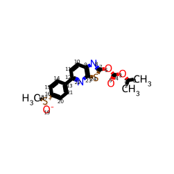 CC(C)OC(=O)Oc1nc2ccc(-c3ccc([S+](C)[O-])cc3)nc2s1